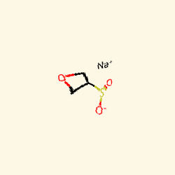 O=S([O-])C1COC1.[Na+]